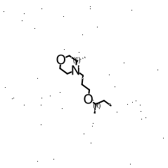 CC[C@@H](C)OCCCN1CCOC[C@@H]1C